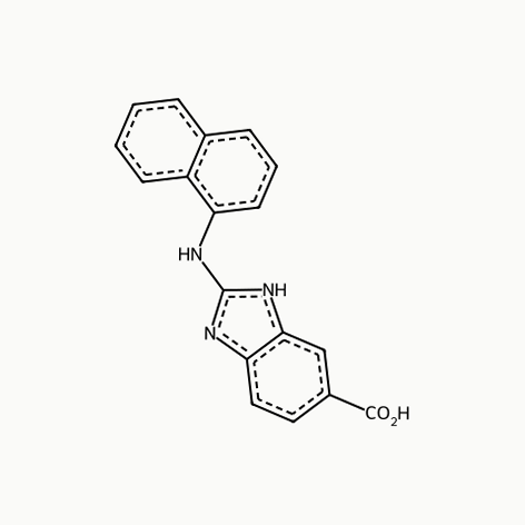 O=C(O)c1ccc2nc(Nc3cccc4ccccc34)[nH]c2c1